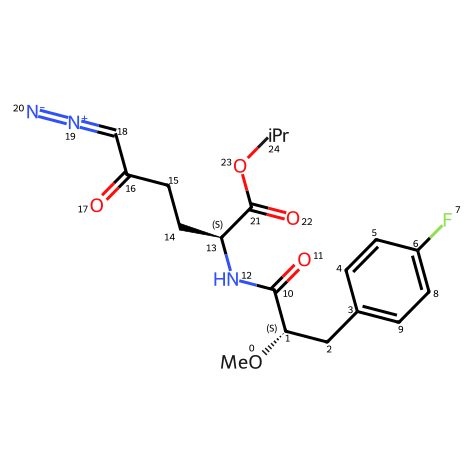 CO[C@@H](Cc1ccc(F)cc1)C(=O)N[C@@H](CCC(=O)C=[N+]=[N-])C(=O)OC(C)C